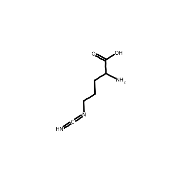 N=C=NCCCC(N)C(=O)O